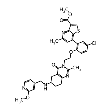 COC(=O)c1csc2c(-c3cc(Cl)ccc3OCCn3c(C)nc4c(c3=O)CC(NCc3ccnc(OC)c3)CC4)cc(C)nc12